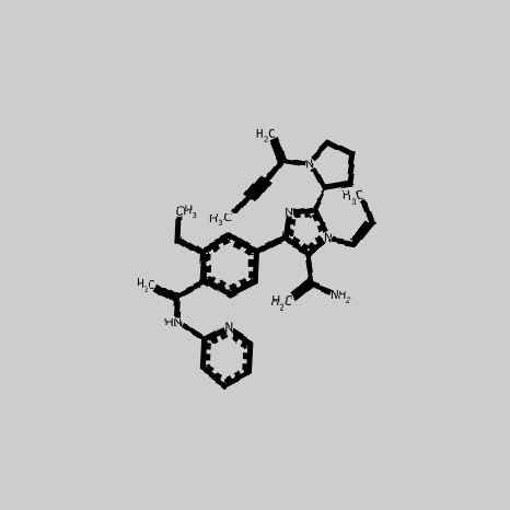 C=C(Nc1ccccn1)c1ccc(-c2nc([C@@H]3CCCN3C(=C)C#CC)n(/C=C\C)c2C(=C)N)cc1CC